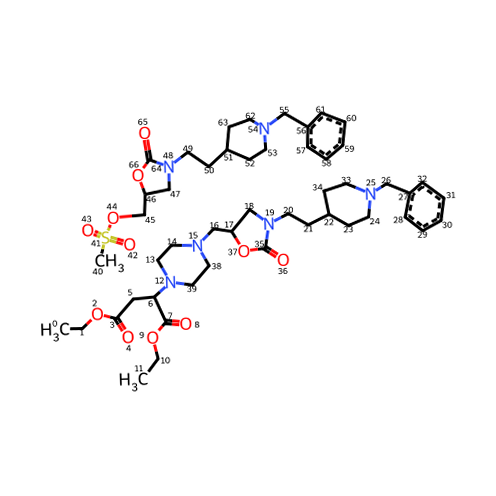 CCOC(=O)CC(C(=O)OCC)N1CCN(CC2CN(CCC3CCN(Cc4ccccc4)CC3)C(=O)O2)CC1.CS(=O)(=O)OCC1CN(CCC2CCN(Cc3ccccc3)CC2)C(=O)O1